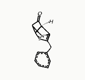 [N-]=[N+]1C2=C(Cc3ccccc3)SC3C1C(=O)[C@@H]23